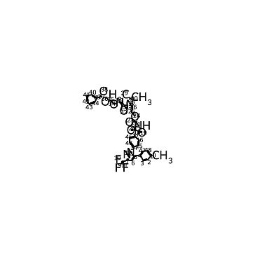 Cc1ccc(-c2cc(C(F)(F)F)nn2-c2ccc(S(=O)(=O)NC(=O)OCCN(C(C)C)[N+]([O-])=NOCOC(=O)c3ccccc3)cc2)cc1